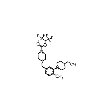 Cc1ccc(CN2CCN(C(=O)OC(C(F)(F)F)C(F)(F)F)CC2)cc1N1CCC(CO)CC1